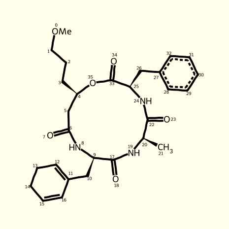 COCCC[C@@H]1CC(=O)N[C@H](CC2=CCCC=C2)C(=O)N[C@H](C)C(=O)N[C@H](Cc2ccccc2)C(=O)O1